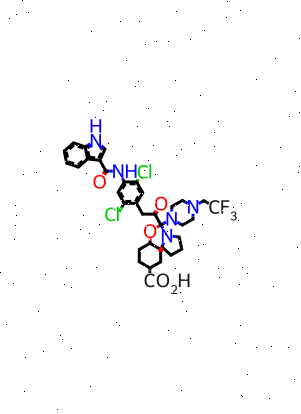 O=C(Nc1cc(Cl)c(CC(=O)C(OC2CCC(C(=O)O)CC2)(N2CCCC2)N2CCN(CC(F)(F)F)CC2)cc1Cl)c1c[nH]c2ccccc12